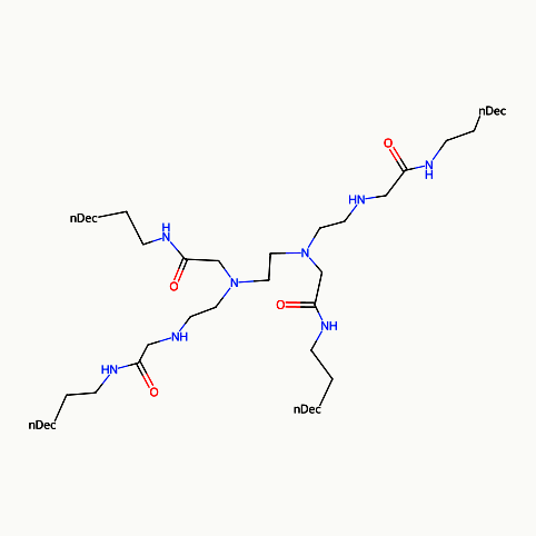 CCCCCCCCCCCCNC(=O)CNCCN(CCN(CCNCC(=O)NCCCCCCCCCCCC)CC(=O)NCCCCCCCCCCCC)CC(=O)NCCCCCCCCCCCC